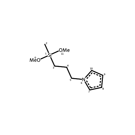 CO[Si](C)(CCCn1cccc1)OC